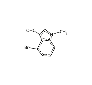 Cn1cc(C=O)c2c(Br)cccc21